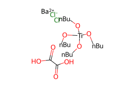 CCCC[O][Ti]([O]CCCC)([O]CCCC)[O]CCCC.O=C(O)C(=O)O.[Ba+2].[Cl-].[Cl-]